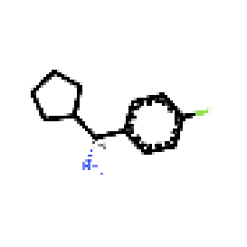 N[C@@H](c1ccc(F)cc1)C1CCCC1